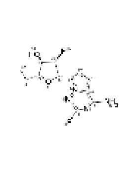 Nc1nc(F)nn2c([C@@H]3O[C@H](CI)[C@@H](O)[C@H]3F)ccc12